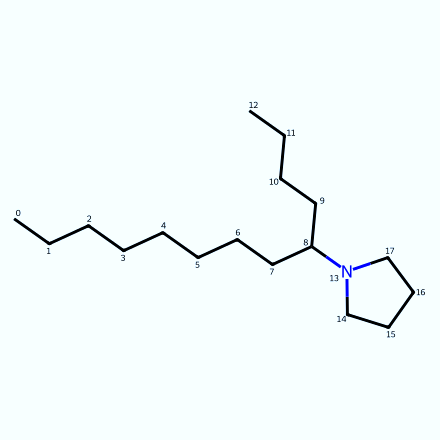 CCCCCCCCC(CCCC)N1CCCC1